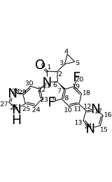 O=C1C(C2CC2)[C@@H](c2c(F)cc(-c3cnccn3)cc2F)N1c1ccc2[nH]cnc2c1